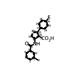 Cc1cccc(C(=O)Nc2csc(-c3ccc(F)cc3)c2C(=O)O)c1